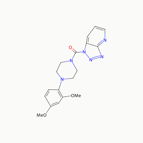 COc1ccc(N2CCN(C(=O)n3nnc4ncccc43)CC2)c(OC)c1